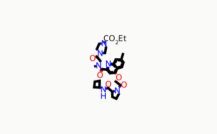 CCOC(=O)N1CCN(C(=O)CN(C)C(=O)c2cc(OCC(=O)N3CCCC3C(=O)NC3CCC3)c3ccc(C)cc3n2)CC1